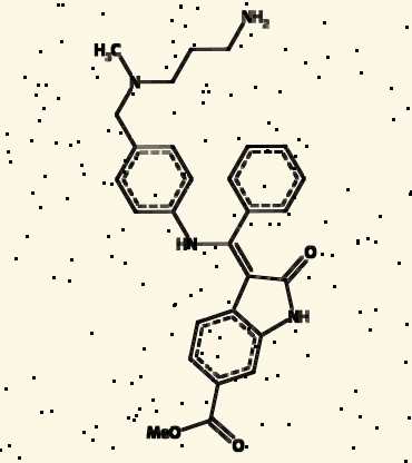 COC(=O)c1ccc2c(c1)NC(=O)C2=C(Nc1ccc(CN(C)CCCN)cc1)c1ccccc1